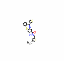 Cc1csc(CNC(=O)c2ccc3c(c2)N=C(c2ccsc2)c2ccccc2S3)c1